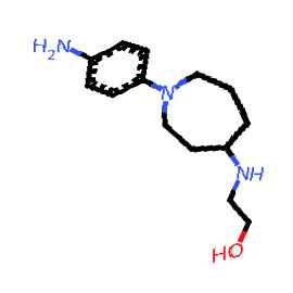 Nc1ccc(N2CCCC(NCCO)CC2)cc1